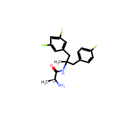 C[C@H](N)C(=O)NC(C)(Cc1ccc(F)cc1)Cc1cc(F)cc(F)c1